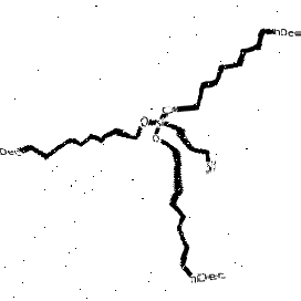 CCCCCCCCCCCCCCCCCCO[Si](CCCS)(OCCCCCCCCCCCCCCCCCC)OCCCCCCCCCCCCCCCCCC